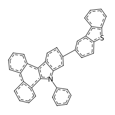 c1ccc(-n2c3cc(-c4ccc5sc6ccccc6c5c4)ccc3c3c4ccccc4c4ccccc4c32)cc1